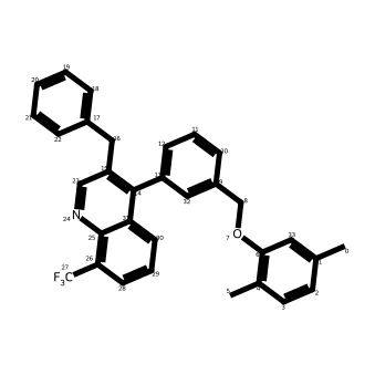 Cc1ccc(C)c(OCc2cccc(-c3c(Cc4ccccc4)cnc4c(C(F)(F)F)cccc34)c2)c1